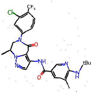 Cc1cc(C(=O)Nc2cnn3c2C(=O)N(c2ccc(C(F)(F)F)c(Cl)c2)CC3C)cnc1NC(C)(C)C